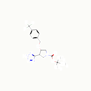 CC(C)(C)OC(=O)N1CC(OCc2ccc(C(F)(F)F)cc2)C(c2nn[nH]n2)C1